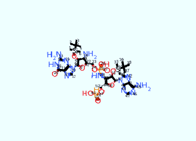 CC(C)(C)[Si](C)(C)OC1[C@H](n2cnc3c(=O)[nH]c(N)nc32)O[C@H](COP(=O)(O)N[C@H]2C(O[Si](C)(C)C(C)(C)C)[C@H](n3cnc4c(N)ncnc43)O[C@@H]2CO[PH](=O)O)[C@H]1N